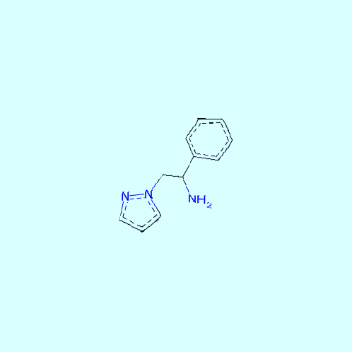 NC(Cn1cccn1)c1ccccc1